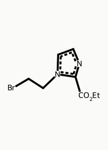 CCOC(=O)c1nccn1CCBr